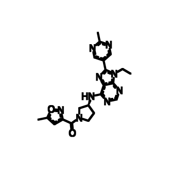 CCn1c(-c2cnc(C)nc2)nc2c(N[C@H]3CCN(C(=O)c4cc(C)on4)C3)ncnc21